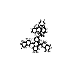 O=P1(c2ccccc2)c2ccccc2-n2c(-c3ccc4c(-c5ccc6ccccc6c5)c5ccccc5c(-c5ccc6ccccc6c5)c4c3)nc3cccc1c32